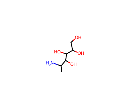 [CH2]C(N)C(O)C(O)C(O)CO